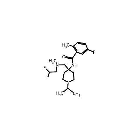 Cc1ccc(F)cc1C(=O)NC1(CN(C)CC(F)F)CCN(C(C)C)CC1